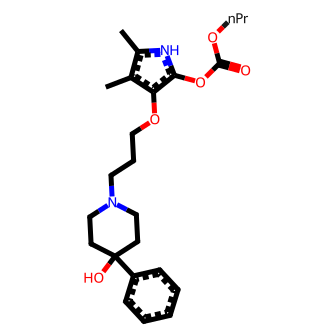 CCCOC(=O)Oc1[nH]c(C)c(C)c1OCCCN1CCC(O)(c2ccccc2)CC1